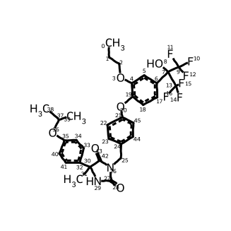 CCCOc1cc(C(O)(C(F)(F)F)C(F)(F)F)ccc1Oc1ccc(CN2C(=O)NC(C)(c3ccc(OC(C)C)cc3)C2=O)cc1